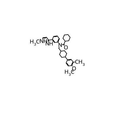 CN/C=C\C(=N)c1cccc(N(CC2CCC(c3ccc(OC)c(C)c3)CC2)C(=O)C2CCCCC2)c1